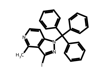 Cc1nccc2c1c(I)nn2C(c1ccccc1)(c1ccccc1)c1ccccc1